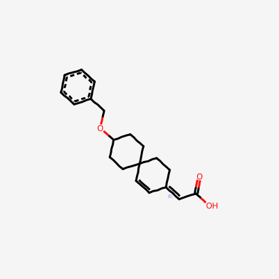 O=C(O)/C=C1/C=CC2(CC1)CCC(OCc1ccccc1)CC2